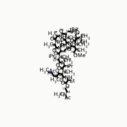 C/C=C/C[C@@H](C)[C@@H](OC(C)=O)[C@@H](C(=O)N[C@@H](CC)C(=O)OCCN(C)C(C)=O)N(C)C(=O)[C@H](C(C)C)N(C)C(=O)[C@H](CC(C)C)N(C)C(=O)[C@H](CC(C)C)N(C)C(=O)[C@@H](C)NC(=O)[C@H](C)NC(=O)[C@H](CC(C)C)N(C)C(=O)[C@@H](NC(=O)[C@H]([C@H](C)COC)N(C)C(=O)[C@@H](COC(C)(C)C)N(C)C)C(C)C